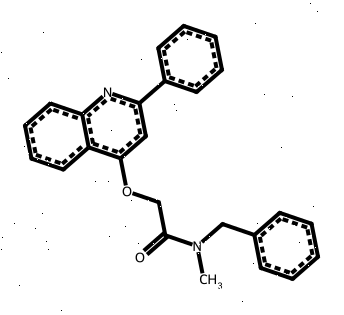 CN(Cc1ccccc1)C(=O)COc1cc(-c2ccccc2)nc2ccccc12